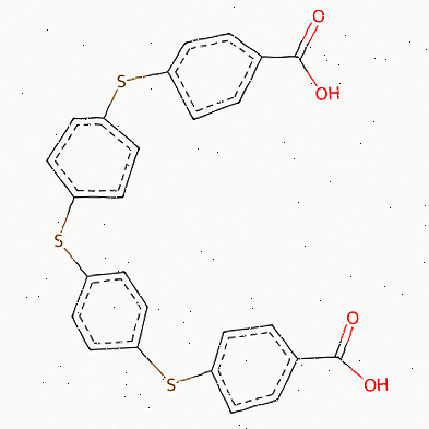 O=C(O)c1ccc(Sc2ccc(Sc3ccc(Sc4ccc(C(=O)O)cc4)cc3)cc2)cc1